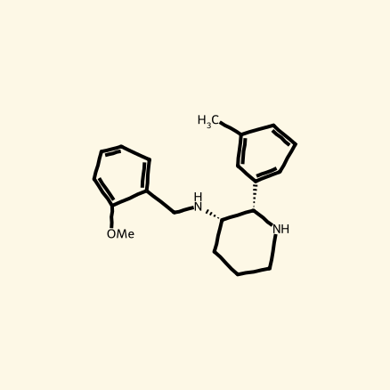 COc1ccccc1CN[C@H]1CCCN[C@H]1c1cccc(C)c1